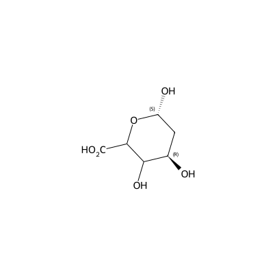 O=C(O)C1O[C@H](O)C[C@@H](O)C1O